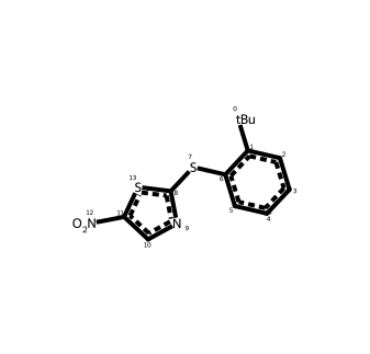 CC(C)(C)c1cc[c]cc1Sc1ncc([N+](=O)[O-])s1